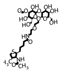 CC(=O)N[C@@H]1[C@H](CCCCC(=O)NCCOCCO[C@@H]2O[C@@H](CO)[C@@H](O)[C@H](O)[C@@H]2OC2O[C@H](CO)[C@@H](O)[C@H](OC=O)[C@@H]2O)SC[C@@H]1C